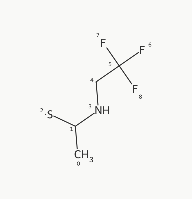 CC([S])NCC(F)(F)F